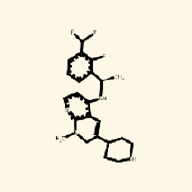 C[C@@H](Nc1ccnc2c1C=C(C1CCNCC1)CN2C)c1cccc(C(F)F)c1F